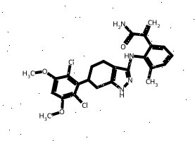 C=C(C(N)=O)c1cccc(C)c1Nc1n[nH]c2c1CCC(c1c(Cl)c(OC)cc(OC)c1Cl)C2